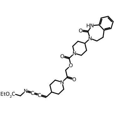 CCOC(=O)CN=C=C=CC1CCN(C(=O)COC(=O)N2CCC(N3CCc4ccccc4NC3=O)CC2)CC1